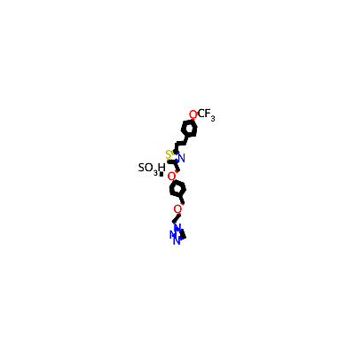 CS(=O)(=O)O.FC(F)(F)Oc1ccc(C=Cc2nc(COc3ccc(COCCn4ccnn4)cc3)cs2)cc1